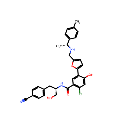 Cc1ccc([C@@H](C)NCc2ccc(-c3cc(C(=O)N[C@@H](CO)Cc4ccc(C#N)cc4)c(Cl)cc3O)o2)cc1